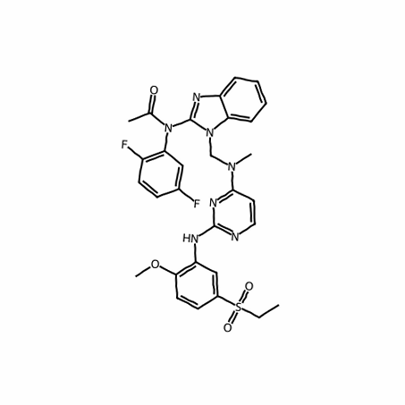 CCS(=O)(=O)c1ccc(OC)c(Nc2nccc(N(C)Cn3c(N(C(C)=O)c4cc(F)ccc4F)nc4ccccc43)n2)c1